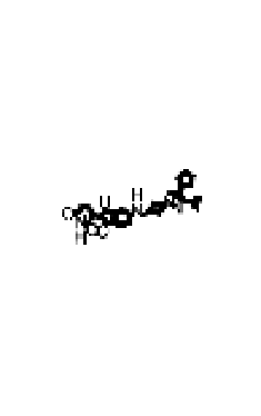 O=C1CCC(C2C(=O)c3ccc(NCC4CC(n5cc(C6CCCC6)c(C6C=C6)n5)C4)cc3C2=O)C(=O)N1